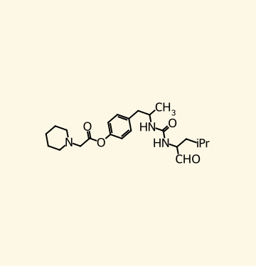 CC(C)CC(C=O)NC(=O)NC(C)Cc1ccc(OC(=O)CN2CCCCC2)cc1